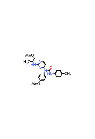 COC[C@H](C)Nc1nccc(N(C(=O)Nc2ccc(C)cc2)c2ccc(OC)cc2)n1